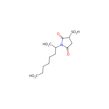 O=C(O)CCCCCC(C(=O)O)N1C(=O)CC(S(=O)(=O)O)C1=O